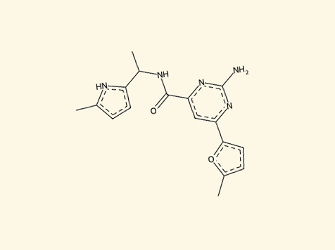 Cc1ccc(C(C)NC(=O)c2cc(-c3ccc(C)o3)nc(N)n2)[nH]1